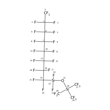 FC(F)(F)C(F)(F)C(F)(F)C(F)(F)C(F)(F)C(F)(F)C(F)(F)C(F)(F)[Si](F)(F)O[Si](C(F)(F)F)(C(F)(F)F)C(F)(F)F